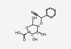 N#CC(O[C@H]1C(O)O[C@H](C(=O)O)[C@@H](O)[C@@H]1O)c1ccccc1